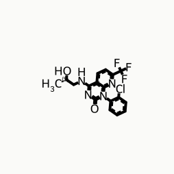 C[C@H](O)CNc1nc(=O)n(-c2ccccc2Cl)c2nc(C(F)(F)F)ccc12